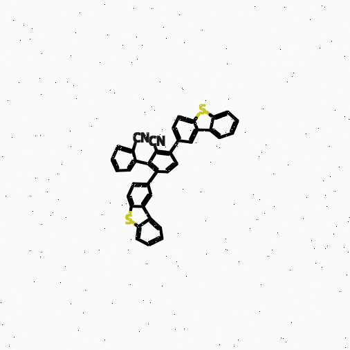 N#Cc1ccccc1-c1c(-c2ccc3sc4ccccc4c3c2)ccc(-c2ccc3sc4ccccc4c3c2)c1C#N